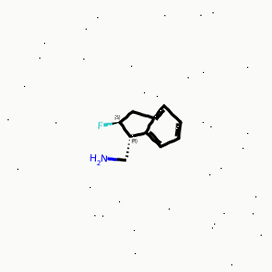 NC[C@H]1c2ccccc2C[C@@H]1F